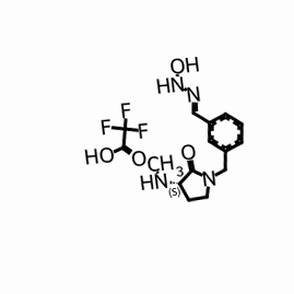 CN[C@H]1CCN(Cc2cccc(C=NNO)c2)C1=O.O=C(O)C(F)(F)F